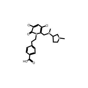 CN1CCC(N(C)Cc2c(Cl)cc(Cl)c(=O)n2CCc2ccc(C(=O)O)cc2)C1